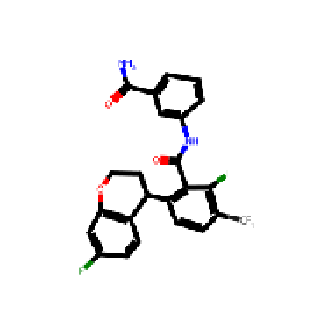 NC(=O)c1cccc(NC(=O)c2c(C3CCOc4cc(F)ccc43)ccc(C(F)(F)F)c2F)c1